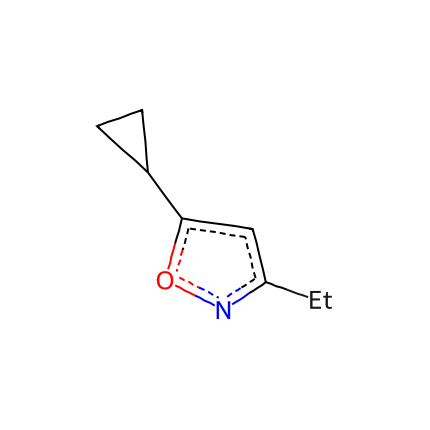 CCc1cc(C2CC2)on1